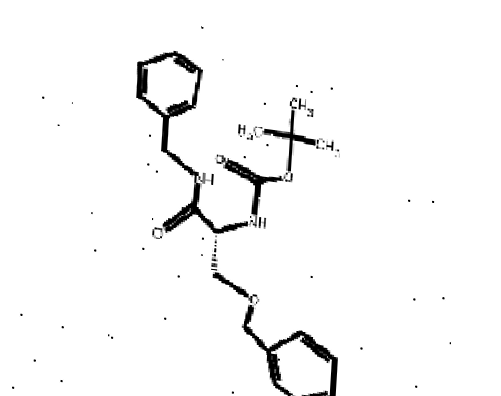 CC(C)(C)OC(=O)N[C@H](COCc1ccccc1)C(=O)NCc1ccccc1